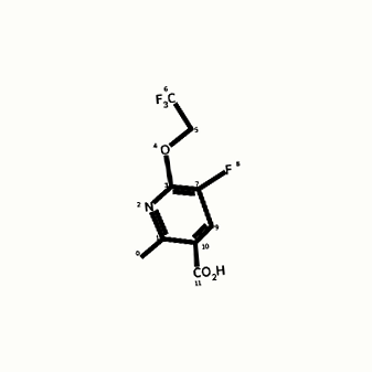 Cc1nc(OCC(F)(F)F)c(F)cc1C(=O)O